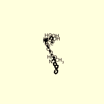 CO[C@H]1O[C@H](Cn2cc(COCCOCCOCCNC(=O)/C(C#N)=C(\C)c3ccc4cc(N5CCCCC5)ccc4c3)nn2)[C@@H](O)[C@H](O)[C@H]1O